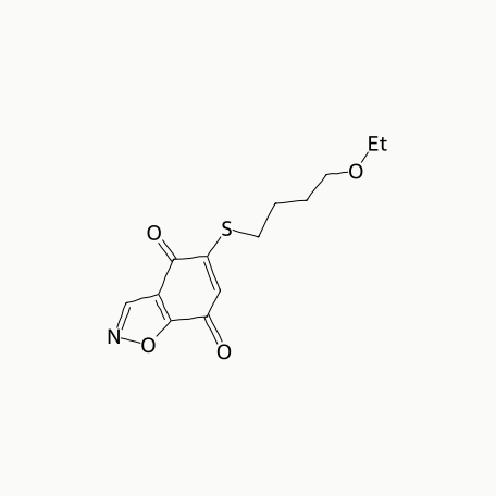 CCOCCCCSC1=CC(=O)c2oncc2C1=O